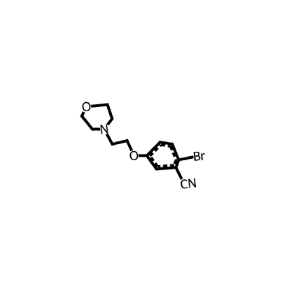 N#Cc1cc(OCCN2CCOCC2)ccc1Br